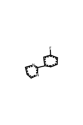 Fc1cc[c]c(-c2ncccn2)c1